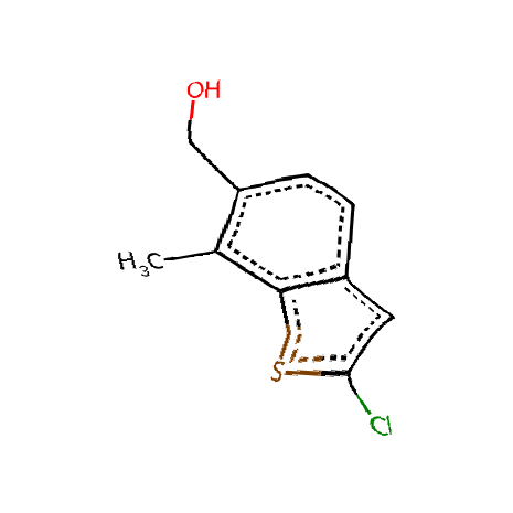 Cc1c(CO)ccc2cc(Cl)sc12